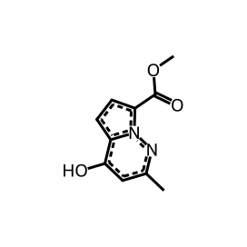 COC(=O)c1ccc2c(O)cc(C)nn12